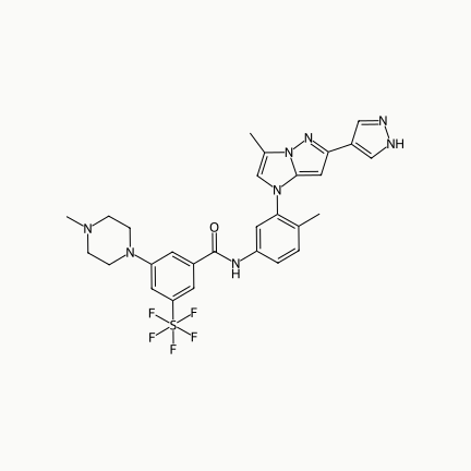 Cc1ccc(NC(=O)c2cc(N3CCN(C)CC3)cc(S(F)(F)(F)(F)F)c2)cc1-n1cc(C)n2nc(-c3cn[nH]c3)cc12